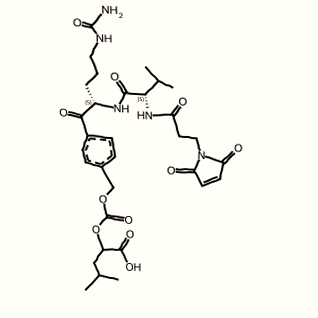 CC(C)CC(OC(=O)OCc1ccc(C(=O)[C@H](CCCNC(N)=O)NC(=O)[C@@H](NC(=O)CCN2C(=O)C=CC2=O)C(C)C)cc1)C(=O)O